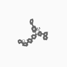 CN1c2cc(-c3ccccc3)ccc2N(c2ccc(-c3ccc(-c4cccc5c4oc4ccccc45)cc3)cc2)c2ccc(-c3cccc4ccccc34)cc21